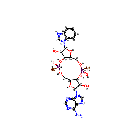 Nc1ncnc2c1ncn2C1OC2COP(=O)(S)OC3C(COP(=O)(S)OC2C1O)OC(n1cnc2ccccc21)C3O